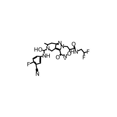 CC1Cc2nn3c(c2CN1C(O)Nc1ccc(F)c(C#N)c1)C(=O)N(C)OC(C(=O)NCC(F)F)C3